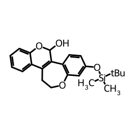 CC(C)(C)[Si](C)(C)Oc1ccc2c(c1)OCCC1=C2C(O)Oc2ccccc21